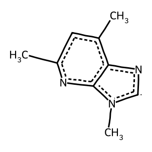 Cc1cc(C)c2n[c]n(C)c2n1